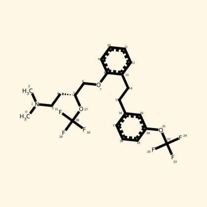 CN(C)CC[C@H](COc1ccccc1CCc1cccc(OC(F)(F)F)c1)OC(F)(F)F